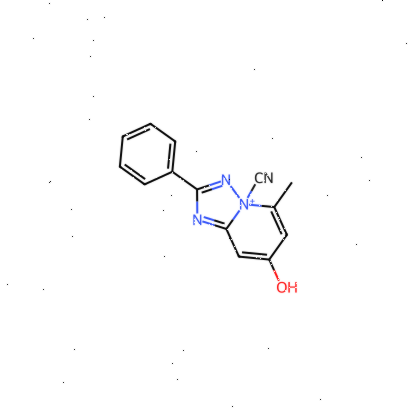 CC1=CC(O)=CC2=NC(c3ccccc3)=N[N+]12C#N